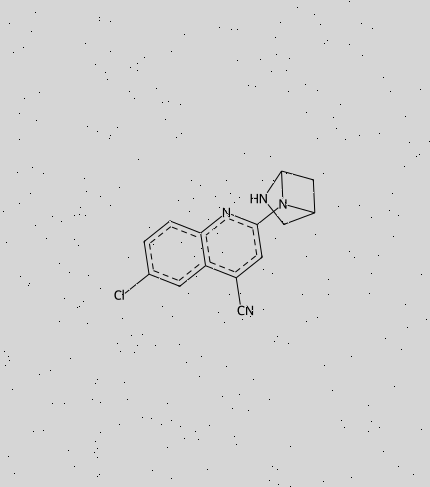 N#Cc1cc(N2C3CNC2C3)nc2ccc(Cl)cc12